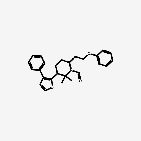 CC1(C)C(c2scnc2-c2ccccc2)CCC(CCOc2ccccc2)N1C=O